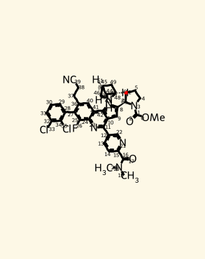 COC(=O)N1CCC[C@@H]1c1cc2c(-c3ccc(C(=O)N(C)C)nc3)nc3c(F)c(-c4cccc(Cl)c4Cl)c(CCC#N)cc3c2n1[C@H]1[C@H]2CN[C@@H]1C2